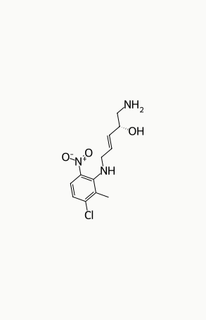 Cc1c(Cl)ccc([N+](=O)[O-])c1NC/C=C/[C@@H](O)CN